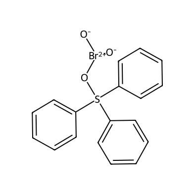 [O-][Br+2]([O-])OS(c1ccccc1)(c1ccccc1)c1ccccc1